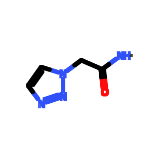 [NH]C(=O)Cn1ccnn1